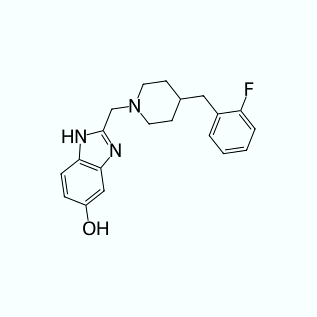 Oc1ccc2[nH]c(CN3CCC(Cc4ccccc4F)CC3)nc2c1